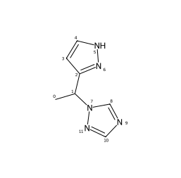 CC(c1cc[nH]n1)n1cncn1